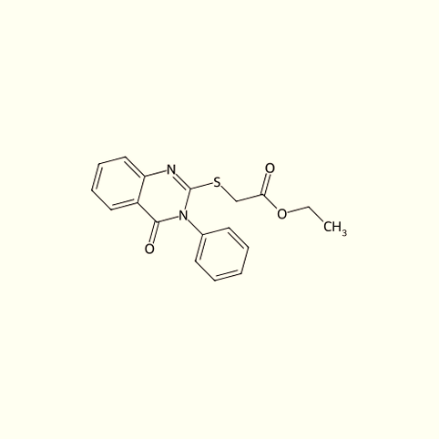 CCOC(=O)CSc1nc2ccccc2c(=O)n1-c1ccccc1